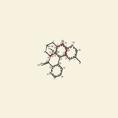 Cc1ccc(NC2CC3CCC2N(C(=O)c2ncccc2-c2ncccc2C)C3)nc1